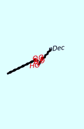 CC#CC#CC#CC#CC#CC#CC(=O)OC[C@@H](CO)OC(=O)CCCCCCCCCCCCCCC